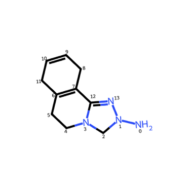 NN1CN2CCC3=C(CC=CC3)C2=N1